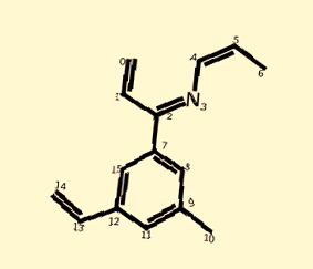 C=C/C(=N\C=C/C)c1cc(C)cc(C=C)c1